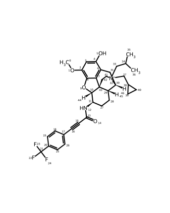 COc1cc(O)c2c3c1O[C@H]1[C@H](NC(=O)C#Cc4ccc(C(F)(F)F)cc4)CC[C@H]4[C@@H](C2)[N+](CC(C)C)(CC2CC2)CC[C@@]341